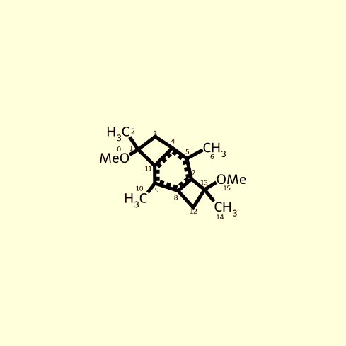 COC1(C)Cc2c(C)c3c(c(C)c21)CC3(C)OC